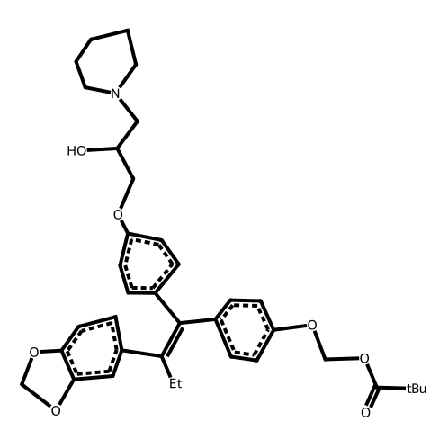 CCC(=C(c1ccc(OCOC(=O)C(C)(C)C)cc1)c1ccc(OCC(O)CN2CCCCC2)cc1)c1ccc2c(c1)OCO2